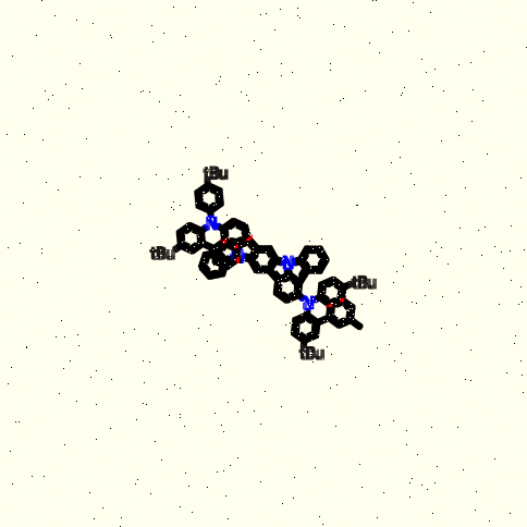 Cc1cccc(-c2cc(C(C)(C)C)ccc2N(c2ccc(C(C)(C)C)cc2)c2ccc3c4cc5c(cc4n4c6ccccc6c2c34)c2ccc(N(c3ccc(C(C)(C)C)cc3)c3ccc(C(C)(C)C)cc3-c3cccc(C)c3)c3c4ccccc4n5c23)c1